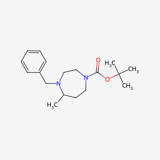 CC1CCN(C(=O)OC(C)(C)C)CCN1Cc1ccccc1